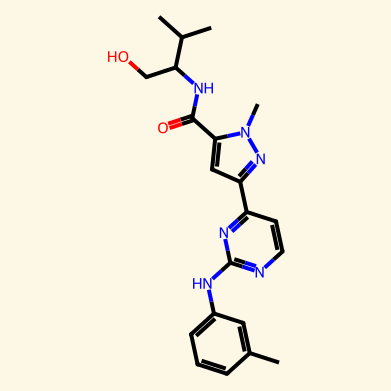 Cc1cccc(Nc2nccc(-c3cc(C(=O)NC(CO)C(C)C)n(C)n3)n2)c1